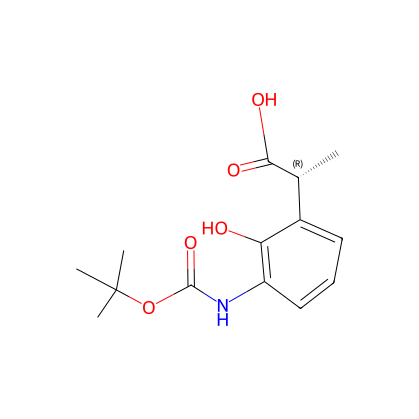 C[C@@H](C(=O)O)c1cccc(NC(=O)OC(C)(C)C)c1O